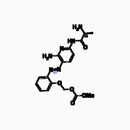 COC(=O)OCOc1ccccc1/N=N/c1ccc(NC(=O)[C@H](C)N)nc1N